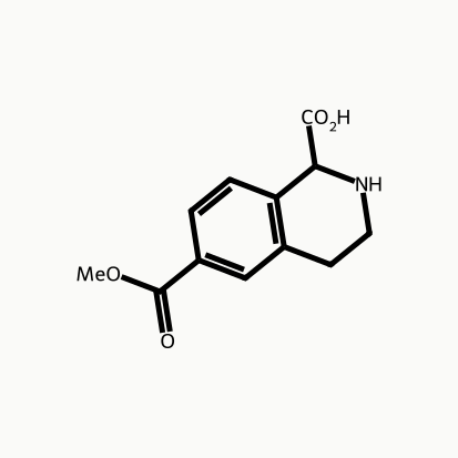 COC(=O)c1ccc2c(c1)CCNC2C(=O)O